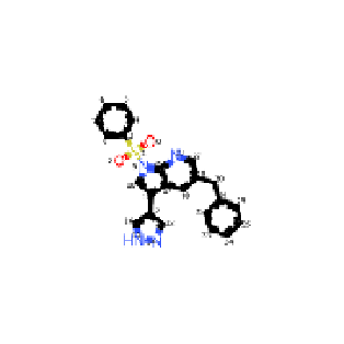 O=S(=O)(c1ccccc1)n1cc(-c2cn[nH]c2)c2cc(Cc3ccccc3)cnc21